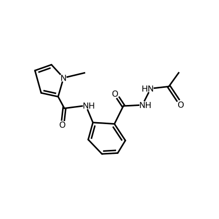 CC(=O)NNC(=O)c1ccccc1NC(=O)c1cccn1C